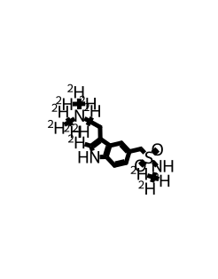 [2H]c1[nH]c2ccc(CS(=O)(=O)NC([2H])([2H])[2H])cc2c1CC([2H])([2H])N(C([2H])([2H])[2H])C([2H])([2H])[2H]